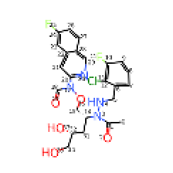 CC(=O)N(NCc1cccc(F)c1Cl)[C@@H](CON(C=O)c1cc2cc(F)ccc2cn1)C[C@@H](O)CO